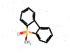 CP1(=O)c2ccccc2-c2ccccc21